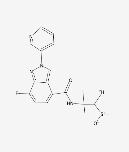 [2H]C([S+](C)[O-])C(C)(C)NC(=O)c1ccc(F)c2nn(-c3cccnc3)cc12